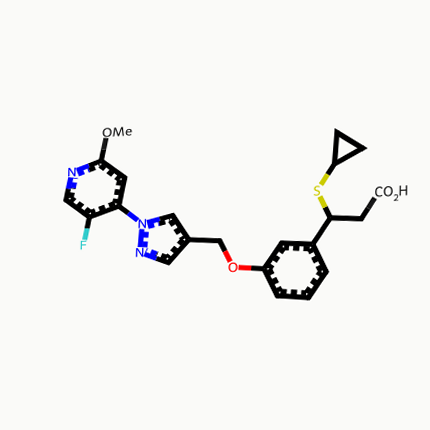 COc1cc(-n2cc(COc3cccc(C(CC(=O)O)SC4CC4)c3)cn2)c(F)cn1